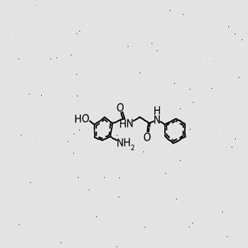 Nc1ccc(O)cc1C(=O)NCC(=O)Nc1ccccc1